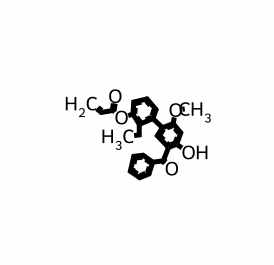 C=CC(=O)Oc1cccc(-c2cc(C(=O)c3ccccc3)c(O)cc2OC)c1CC